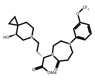 COC(=O)[C@H](CCN1CCC2(CC2)[C@H](O)C1)N1CCN(c2cccc(OC(F)(F)F)c2)CCC1=O